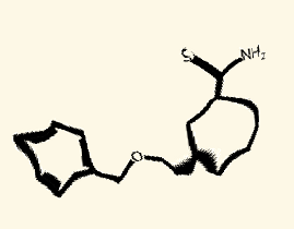 NC(=S)C1CCCC(COCc2ccccc2)C1